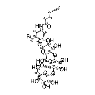 C#CCCCC(=O)Nc1ccc(O[C@@H]2OC(CO)[C@H](O[C@H]3OC(CO)[C@H](O[C@H]4OC(CO)[C@@H](O)C(O)C4O)C(O)C3O)C(O)C2O)c(CF)c1